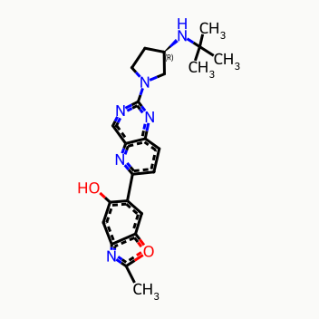 Cc1nc2cc(O)c(-c3ccc4nc(N5CC[C@@H](NC(C)(C)C)C5)ncc4n3)cc2o1